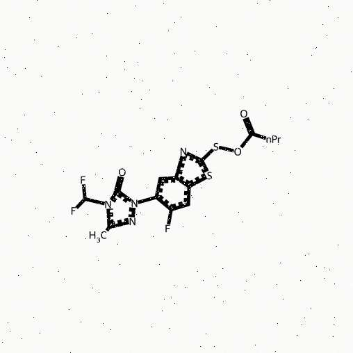 CCCC(=O)OSc1nc2cc(-n3nc(C)n(C(F)F)c3=O)c(F)cc2s1